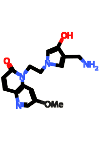 COc1cnc2ccc(=O)n(CCn3cc(O)c(CN)c3)c2c1